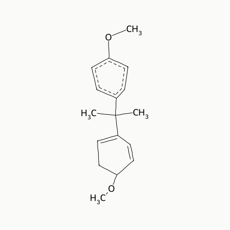 COc1ccc(C(C)(C)C2=CCC(OC)C=C2)cc1